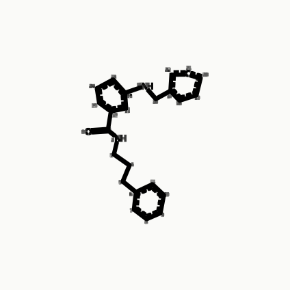 O=C(NCCCc1ccccc1)c1[c]c(NCc2ccccc2)ccc1